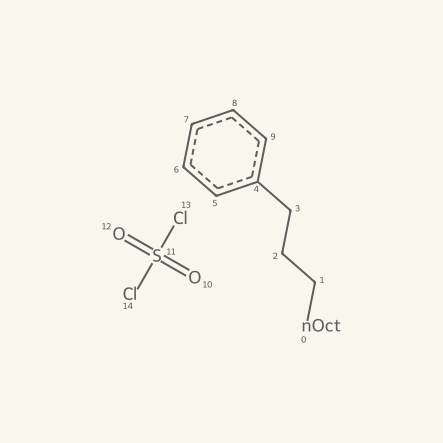 CCCCCCCCCCCc1ccccc1.O=S(=O)(Cl)Cl